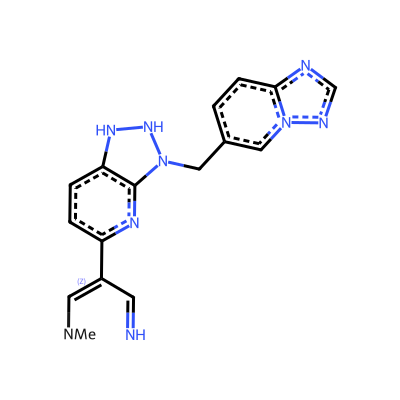 CN/C=C(\C=N)c1ccc2c(n1)N(Cc1ccc3ncnn3c1)NN2